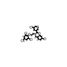 O=C(c1cncc(Cl)c1)N(CCOc1c(Cl)cc(Cl)cc1Cl)Cc1ccc(Cl)cc1